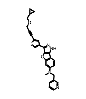 CN(Cc1cccnc1)c1ccc2c(c1)oc1c(-c3csc(C#CCOCC4CC4)c3)n[nH]c12